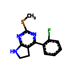 CSc1nc2c(c(-c3ccccc3F)n1)CCN2